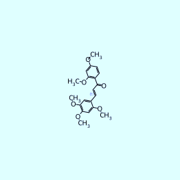 COc1ccc(C(=O)/C=C/c2cc(OC)c(OC)cc2OC)c(OC)c1